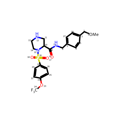 COCc1ccc(CNC(=O)C2CNCCN2S(=O)(=O)c2ccc(OC(F)(F)F)cc2)cc1